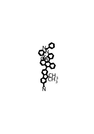 CC1(C)c2cc(C#N)ccc2-c2ccc(-c3c4ccccc4c(-c4cccc5c4S(=O)(=O)c4cccc6nc(-c7ccccc7)n-5c46)c4ccccc34)cc21